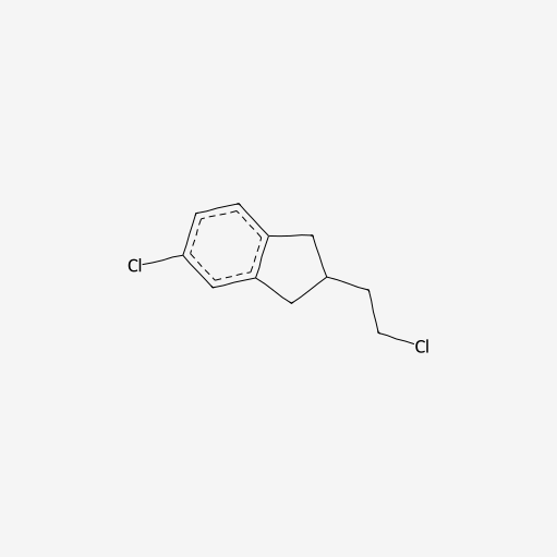 ClCCC1Cc2ccc(Cl)cc2C1